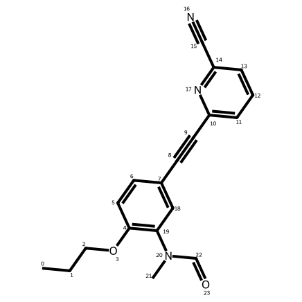 CCCOc1ccc(C#Cc2cccc(C#N)n2)cc1N(C)C=O